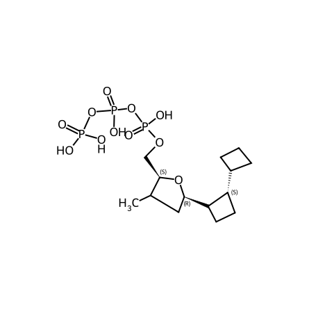 CC1C[C@H](C2CC[C@H]2C2CCC2)O[C@@H]1COP(=O)(O)OP(=O)(O)OP(=O)(O)O